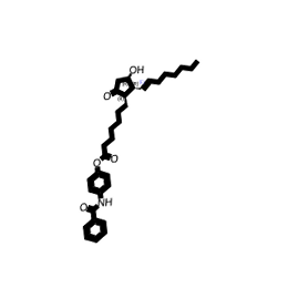 CCCCCC/C=C/[C@H]1[C@H](O)CC(=O)[C@@H]1CCCCCCC(=O)Oc1ccc(NC(=O)c2ccccc2)cc1